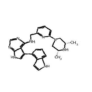 C[C@@H]1CN(c2cccc(CNc3ncnc4[nH]cc(-c5cccc6[nH]ccc56)c34)n2)C[C@H](C)N1